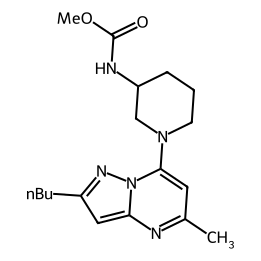 CCCCc1cc2nc(C)cc(N3CCCC(NC(=O)OC)C3)n2n1